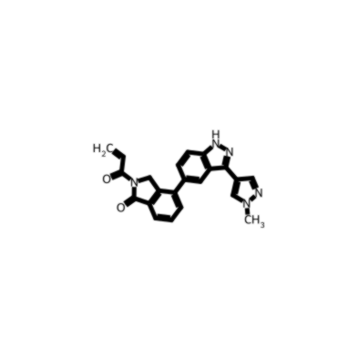 C=CC(=O)N1Cc2c(cccc2-c2ccc3[nH]nc(-c4cnn(C)c4)c3c2)C1=O